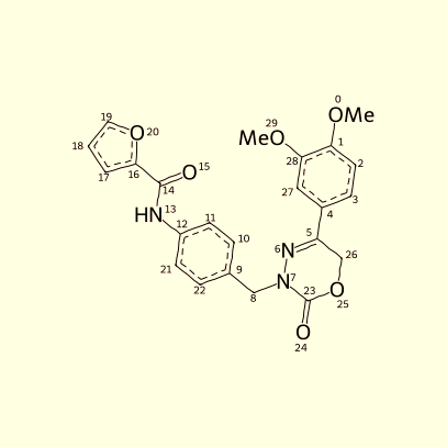 COc1ccc(C2=NN(Cc3ccc(NC(=O)c4ccco4)cc3)C(=O)OC2)cc1OC